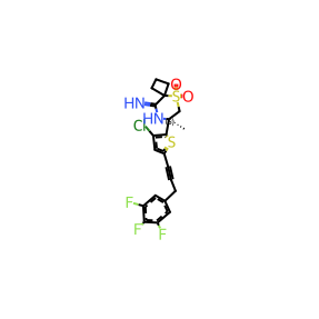 C[C@@]1(c2sc(C#CCc3cc(F)c(F)c(F)c3)cc2Cl)CS(=O)(=O)C2(CCC2)C(=N)N1